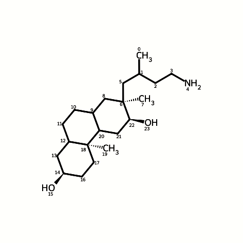 CC(CCN)C[C@]1(C)CC2CCC3C[C@H](O)CC[C@]3(C)C2C[C@@H]1O